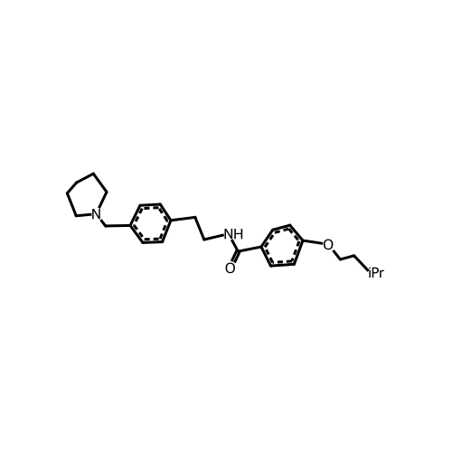 CC(C)CCOc1ccc(C(=O)NCCc2ccc(CN3CCCCC3)cc2)cc1